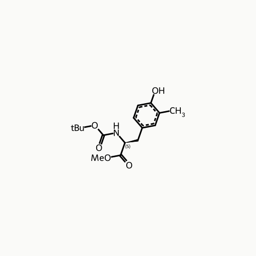 COC(=O)[C@H](Cc1ccc(O)c(C)c1)NC(=O)OC(C)(C)C